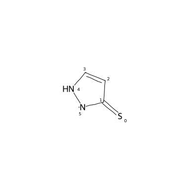 S=C1C=CN[N]1